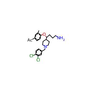 CC(=O)c1ccc(OC(CCCN)C2CCN(Cc3ccc(Cl)c(Cl)c3)CC2)c(C)c1